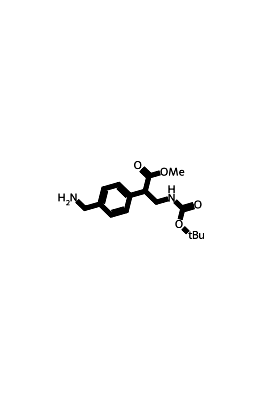 COC(=O)C(CNC(=O)OC(C)(C)C)c1ccc(CN)cc1